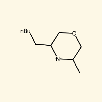 CCCCCC1COCC(C)[N]1